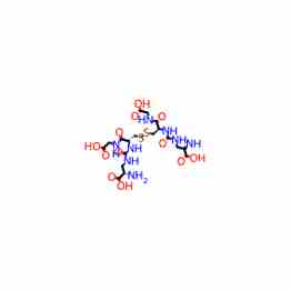 N=C(CNC(=O)N[C@@H](CSSC[C@H](NC(=O)NC[C@H](N)C(=O)O)C(=O)NCC(=O)O)C(=O)NCC(=O)O)C(=O)O